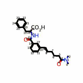 CN(C)C(=O)CCCC=Cc1cccc(C(=O)NC(Cc2ccccc2)C(=O)O)c1